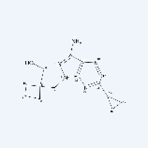 Nc1nn(CC2(CO)CCC2)c2nc(C3CC3)cnc12